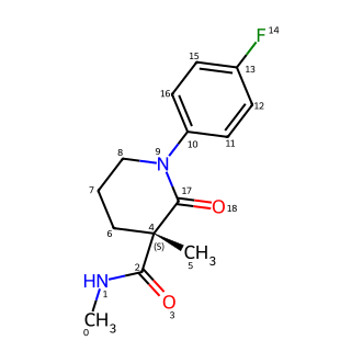 CNC(=O)[C@]1(C)CCCN(c2ccc(F)cc2)C1=O